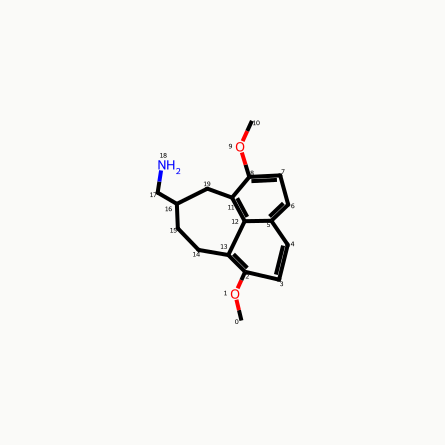 COc1ccc2ccc(OC)c3c2c1CCC(CN)C3